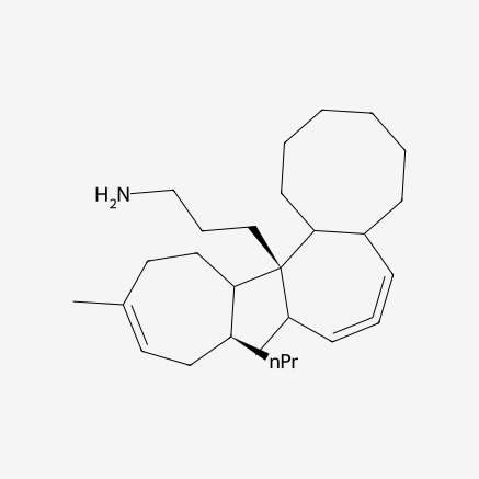 CCC[C@H]1CC=C(C)CCC1[C@@]1(CCCN)C(C)C=C=CC2CCCCCCC21